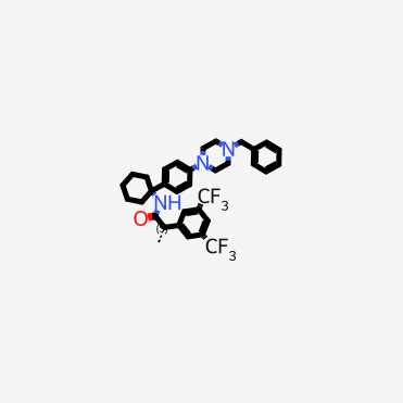 C[C@H](C(=O)NC1(c2ccc(N3CCN(Cc4ccccc4)CC3)cc2)CCCCC1)c1cc(C(F)(F)F)cc(C(F)(F)F)c1